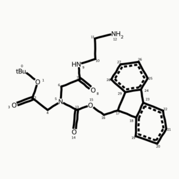 CC(C)(C)OC(=O)CN(CC(=O)NCCN)C(=O)OCC1c2ccccc2-c2ccccc21